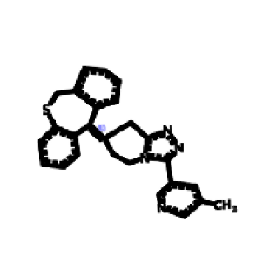 Cc1cncc(-c2nnc3n2CC/C(=C2/c4ccccc4CSc4ccccc42)C3)c1